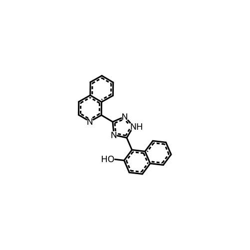 Oc1ccc2ccccc2c1-c1nc(-c2nccc3ccccc23)n[nH]1